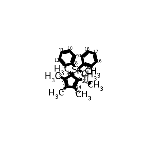 CC1=C(C)C(C)([Si](C)(c2ccccc2)c2ccccc2)[C]([Ti]([CH3])[CH3])=C1C